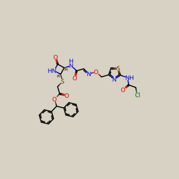 O=C(C=NOCc1csc(NC(=O)CCl)n1)N[C@@H]1C(=O)N[C@@H]1SCC(=O)OC(c1ccccc1)c1ccccc1